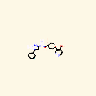 O=C1O[C@]2(CC[C@](O)(C(=O)Nc3cc(-c4cccc(F)c4)[nH]n3)CC2)c2cnccc21